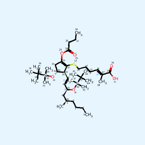 CCCC[C@@H](C)C[C@@H](/C=C/[C@@H]1C(SCCC/C=C(\C)C(=O)O)=C(OC(=O)CCC)C[C@H]1O[Si](C)(C)C(C)(C)C)O[Si](C)(C)C(C)(C)C